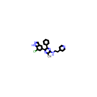 N#Cc1nc(-c2cc(Cl)c3[nH]ncc3c2)c(-c2ccccc2)nc1NCCc1ccncc1